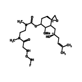 COC1C(OC(=O)N(C)CCN(C)C(=O)CNOBF)CC[C@]2(CO2)C1C[C@H](O)CC=C(C)C